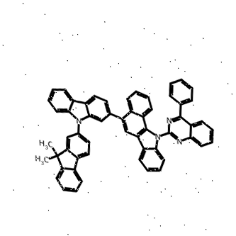 CC1(C)c2ccccc2-c2ccc(-n3c4ccccc4c4ccc(-c5cc6c7ccccc7n(-c7nc(-c8ccccc8)c8ccccc8n7)c6c6ccccc56)cc43)cc21